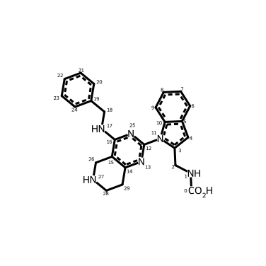 O=C(O)NCc1cc2ccccc2n1-c1nc2c(c(NCc3ccccc3)n1)CNCC2